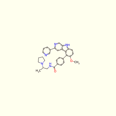 COc1ccc2[nH]c3cnc(-c4cccnc4)cc3c2c1-c1ccc(C(=O)NCC(C)N2CCCC2)cc1